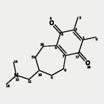 CC1=C(C)C(=O)C2=C(CCC(CN(C)C)CC2)C1=O